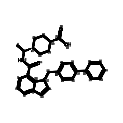 CC(NC(=O)c1cccc2ccn(Cc3ccc(-c4ccccc4)cc3)c12)[C@H]1CC[C@H](C(=O)O)CC1